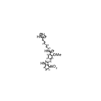 COc1cc(Cc2c[nH]c3cccc([N+](=O)[O-])c23)ccc1C(=O)NCCCCCCC(=O)NO